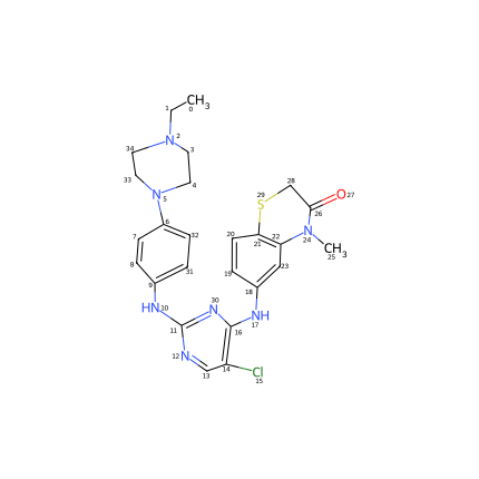 CCN1CCN(c2ccc(Nc3ncc(Cl)c(Nc4ccc5c(c4)N(C)C(=O)CS5)n3)cc2)CC1